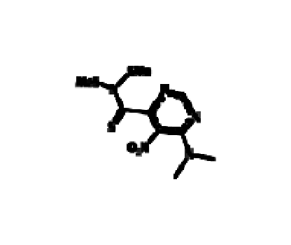 CSN(SC)C(=S)c1ncnc(N(C)C)c1[N+](=O)[O-]